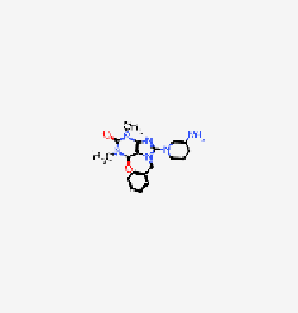 Cn1c(=O)c2c(nc(N3CCCC(N)C3)n2Cc2ccccc2)n(C)c1=O